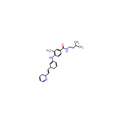 Cc1cc(C(=O)NCCC(C)C)ccc1NC1=CC(/C=C/C2CC=CC=N2)CC=C1